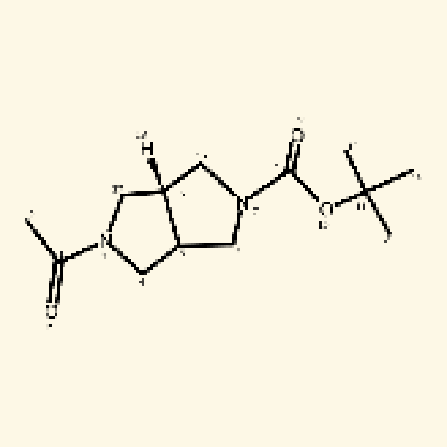 CC(=O)N1CC2CN(C(=O)OC(C)(C)C)C[C@H]2C1